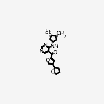 CC[C@H]1C[C@@H](Nc2ncncc2C(=O)c2cc(C3CCCO3)co2)C[C@@H]1C